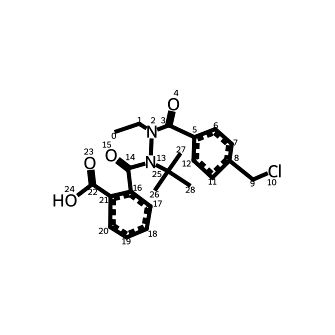 CCN(C(=O)c1ccc(CCl)cc1)N(C(=O)c1ccccc1C(=O)O)C(C)(C)C